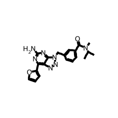 CC(C)N(C)C(=O)c1cccc(Cn2nnc3c(-c4ccco4)nc(N)nc32)c1